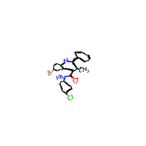 Cc1c(-c2ccccc2)nc2ccc(Br)cc2c1C(=O)Nc1[c]cc(Cl)cc1